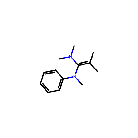 CC(C)=C(N(C)C)N(C)c1ccccc1